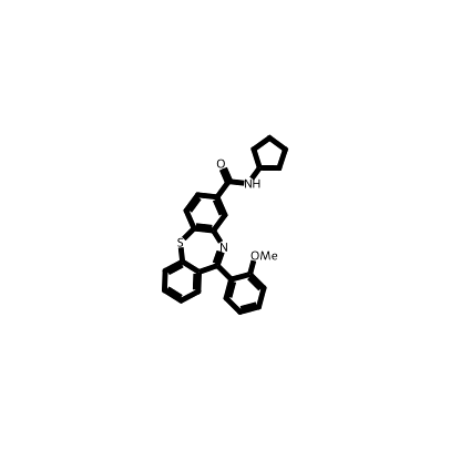 COc1ccccc1C1=Nc2cc(C(=O)NC3CCCC3)ccc2Sc2ccccc21